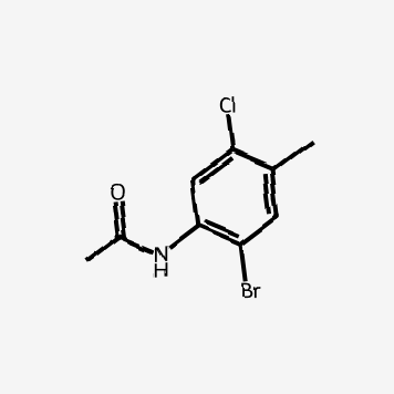 CC(=O)Nc1cc(Cl)c(C)cc1Br